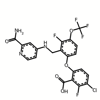 NC(=O)c1cc(NCc2c(Oc3ccc(Cl)c(F)c3C(=O)O)ccc(OC(F)(F)F)c2F)ccn1